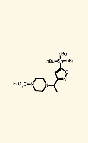 CCC[CH2][Sn]([CH2]CCC)([CH2]CCC)[c]1cc(C(C)N2CCN(C(=O)OCC)CC2)no1